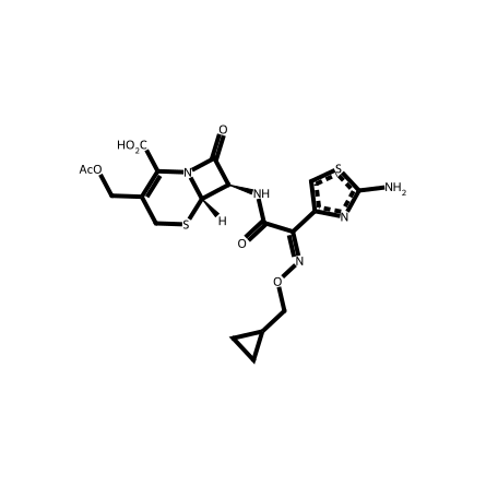 CC(=O)OCC1=C(C(=O)O)N2C(=O)[C@@H](NC(=O)/C(=N\OCC3CC3)c3csc(N)n3)[C@@H]2SC1